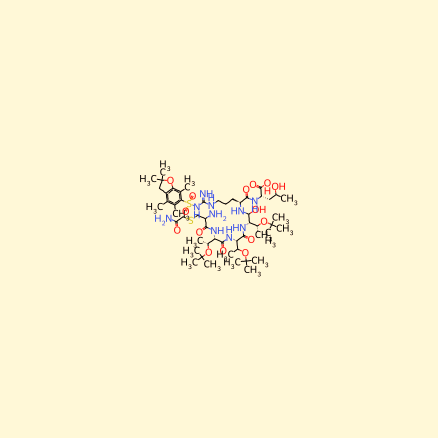 Cc1c(C)c(S(=O)(=O)NC(=N)NCCC[C@H](NC(O)[C@@H](NC(=O)[C@@H](NC(=O)[C@@H](NC(=O)C(N)CSCC(N)=O)[C@@H](C)OC(C)(C)C)C(C)OC(C)(C)C)[C@@H](C)OC(C)(C)C)C(=O)N[C@@H](CC(C)O)C(=O)O)c(C)c2c1CC(C)(C)O2